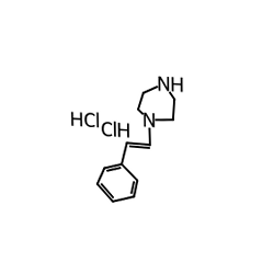 C(=CN1CCNCC1)c1ccccc1.Cl.Cl